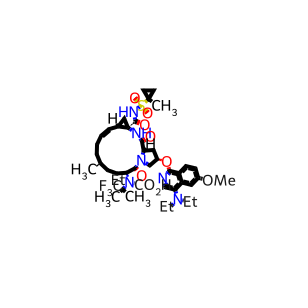 CC[C@@H]1C[C@H](C)CCC=C[C@@H]2C[C@@]2(C(=O)NS(=O)(=O)C2(C)CC2)NC(=O)[C@@H]2C[C@@H](Oc3ncc(N(CC)CC)c4cc(OC)ccc34)CN2C(=O)[C@H]1N(C(=O)O)C(C)(C)C(F)(F)F